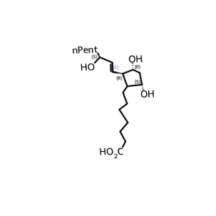 CCCCC[C@H](O)/C=C/[C@@H]1C(CCCCCCC(=O)O)[C@@H](O)C[C@H]1O